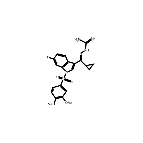 COc1ccc(S(=O)(=O)n2cc(C(=NNC(=N)N)C3CC3)c3ccc(F)cc32)cc1OC